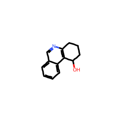 OC1CCCc2ncc3ccccc3c21